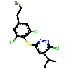 CC(C)c1cc(Sc2c(Cl)cc(CCBr)cc2Cl)nnc1Cl